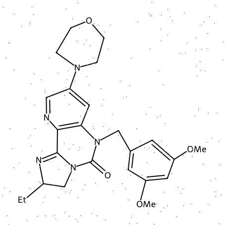 CCC1CN2C(=O)N(Cc3cc(OC)cc(OC)c3)c3cc(N4CCOCC4)cnc3C2=N1